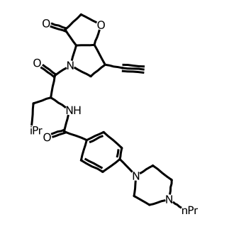 C#CC1CN(C(=O)C(CC(C)C)NC(=O)c2ccc(N3CCN(CCC)CC3)cc2)C2C(=O)COC12